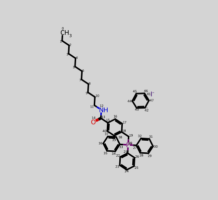 CCCCCCCCCCCCNC(=O)c1ccc(C[P+](c2ccccc2)(c2ccccc2)c2ccccc2)cc1.[I-].[c]1ccccc1